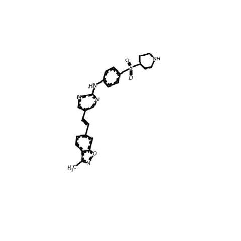 Cc1noc2cc(/C=C/c3cnc(Nc4ccc(S(=O)(=O)C5CCNCC5)cc4)nc3)ccc12